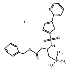 C[N+](C)(C)CC(CC(=O)OCc1ccccc1)NS(=O)(=O)c1ccc(-c2ccccn2)s1.[I-]